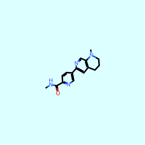 CNC(=O)c1ccc(-c2cc3c(cn2)N(C)CCC3)cn1